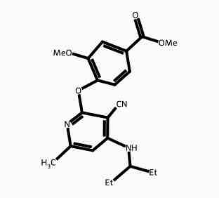 CCC(CC)Nc1cc(C)nc(Oc2ccc(C(=O)OC)cc2OC)c1C#N